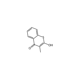 Cc1c(O)sc2ccccc2c1=O